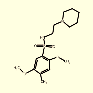 COc1cc(S(=O)(=O)NCCN2CCCCC2)c(OC)cc1C